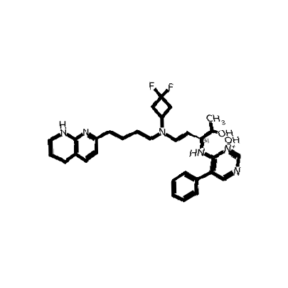 CC(O)[C@H](CCN(CCCCc1ccc2c(n1)NCCC2)C1CC(F)(F)C1)Nc1c(-c2ccccc2)cnc[n+]1O